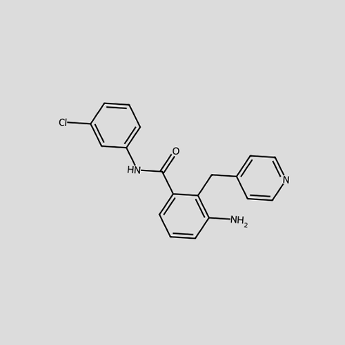 Nc1cccc(C(=O)Nc2cccc(Cl)c2)c1Cc1ccncc1